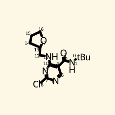 CC(C)(C)NC(=O)c1cnc(Cl)nc1NCC1CCCO1